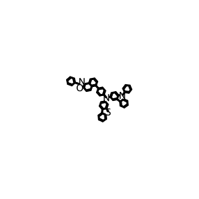 c1ccc(-c2nc3c(ccc4c(-c5ccc(N(c6ccc7c(c6)sc6ccccc67)c6ccc7c(c6)c6ccccc6n7-c6ccccc6)cc5)cccc43)o2)cc1